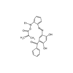 C=C(C)C(=O)ON(CC)c1ccccc1N=Nc1cc(C(=O)c2ccccc2)c(O)cc1O